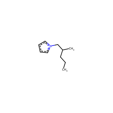 CCCC(C)Cn1cccc1